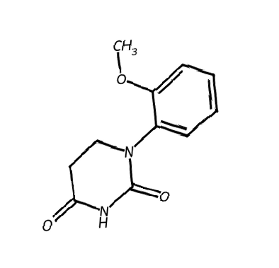 COc1ccccc1N1CCC(=O)NC1=O